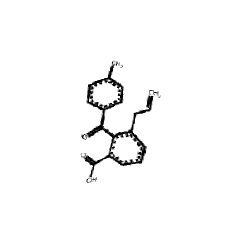 C=CCc1cccc(C(=O)O)c1C(=O)c1ccc(C)cc1